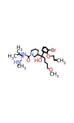 C=CCOc1c(Br)cccc1[C@](O)(CCCCOC)[C@@H]1CCCN(C(=O)N[C@H](CNC)C(C)C)C1